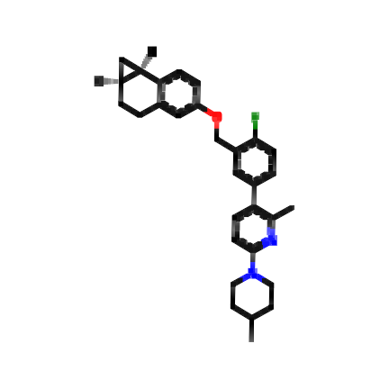 Cc1nc(N2CCC(C)CC2)ccc1-c1ccc(F)c(COc2ccc3c(c2)CC[C@H]2C[C@@H]32)c1